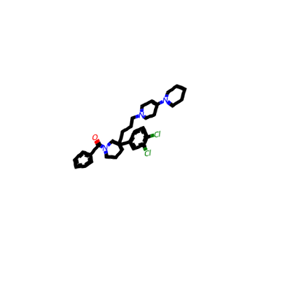 O=C(c1ccccc1)N1CCCC(CCCN2CCC(N3CCCCC3)CC2)(c2ccc(Cl)c(Cl)c2)C1